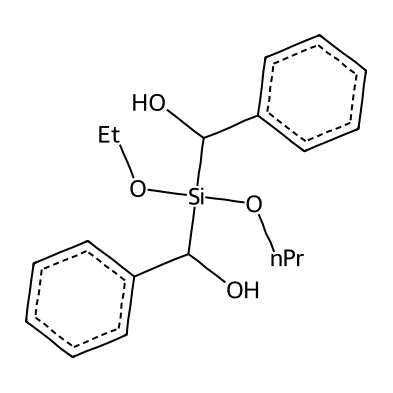 CCCO[Si](OCC)(C(O)c1ccccc1)C(O)c1ccccc1